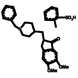 COc1cc2c(cc1OC)C(=O)C(CC1CCN(Cc3ccccc3)CC1)C2.Cc1ccccc1S(=O)(=O)O